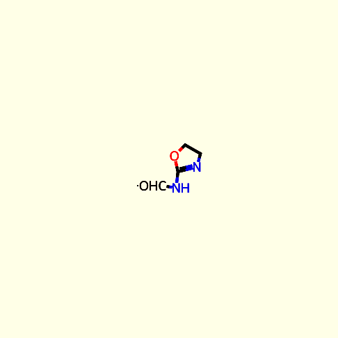 O=[C]NC1=NCCO1